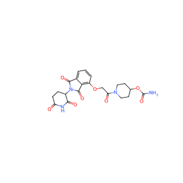 NC(=O)OC1CCN(C(=O)COc2cccc3c2C(=O)N(C2CCC(=O)NC2=O)C3=O)CC1